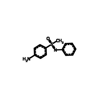 CS(=O)(=Nc1ccccc1)c1ccc(N)cc1